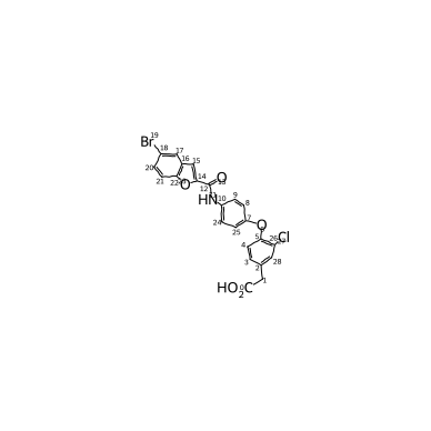 O=C(O)Cc1ccc(Oc2ccc(NC(=O)c3cc4cc(Br)ccc4o3)cc2)c(Cl)c1